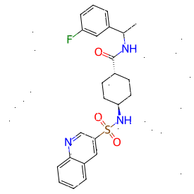 CC(NC(=O)[C@H]1CC[C@H](NS(=O)(=O)c2cnc3ccccc3c2)CC1)c1cccc(F)c1